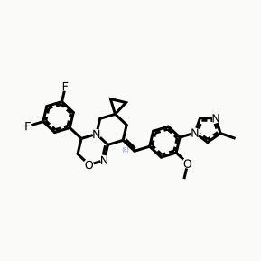 COc1cc(/C=C2\CC3(CC3)CN3C2=NOCC3c2cc(F)cc(F)c2)ccc1-n1cnc(C)c1